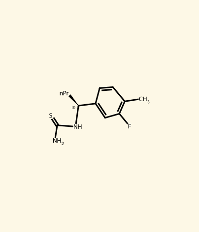 CCC[C@H](NC(N)=S)c1ccc(C)c(F)c1